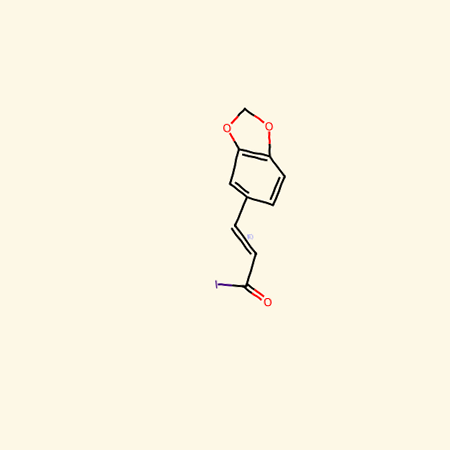 O=C(I)/C=C/c1ccc2c(c1)OCO2